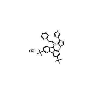 CC1C=CC(c2ccsc2)=[C]1/[Zr+2](=[CH]/Cc1ccccc1)[CH]1c2ccc(C(C)(C)C)cc2-c2cc(C(C)(C)C)ccc21.[Cl-].[Cl-]